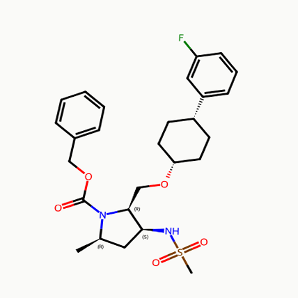 C[C@@H]1C[C@H](NS(C)(=O)=O)[C@H](CO[C@H]2CC[C@@H](c3cccc(F)c3)CC2)N1C(=O)OCc1ccccc1